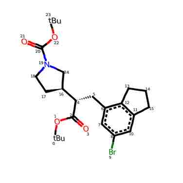 CC(C)(C)OC(=O)[C@@H](Cc1cc(Br)cc2c1CCC2)[C@H]1CCN(C(=O)OC(C)(C)C)C1